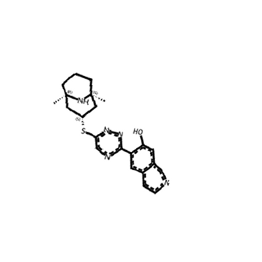 C[C@]12CCC[C@](C)(C[C@@H](Sc3cnc(-c4cc5ccncc5cc4O)nn3)C1)N2